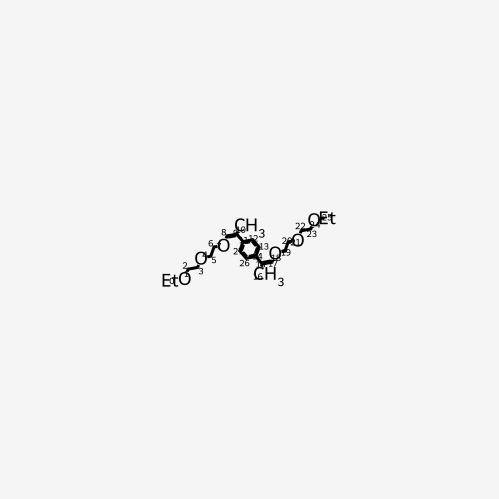 CCOCCOCCO/C=C(/C)c1ccc(/C(C)=C\OCCOCCOCC)cc1